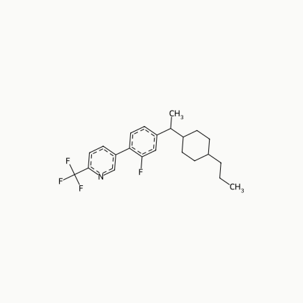 CCCC1CCC(C(C)c2ccc(-c3ccc(C(F)(F)F)nc3)c(F)c2)CC1